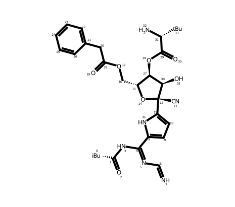 CC[C@@H](C)C(=O)N/C(=N/C=N)c1ccc([C@]2(C#N)O[C@H](COC(=O)Cc3ccccc3)[C@@H](OC(=O)[C@H](N)C(C)(C)C)[C@H]2O)[nH]1